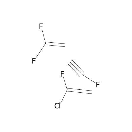 C#CF.C=C(F)Cl.C=C(F)F